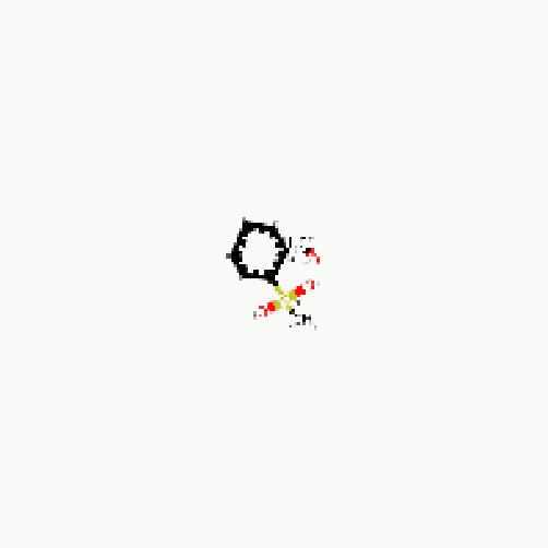 C=O.CS(=O)(=O)c1ccccc1